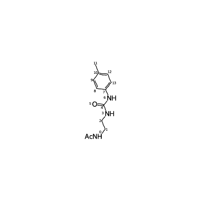 CC(=O)NCCNC(=O)Nc1ccc(C)cc1